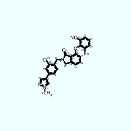 Cn1cc(-c2ccc(CN3Cc4cccc(Oc5c(F)cccc5C#N)c4C3=O)c(Cl)c2)cn1